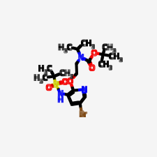 CC(C)N(CCOc1ncc(Br)cc1NS(=O)(=O)C(C)(C)C)C(=O)OC(C)(C)C